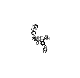 CCNC(=O)c1cc(CN2CCOCC2)ccc1NC(=O)c1coc(N2CCC(Oc3ncccn3)CC2)n1